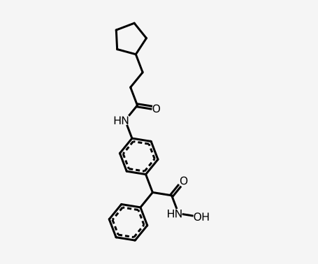 O=C(CCC1CCCC1)Nc1ccc(C(C(=O)NO)c2ccccc2)cc1